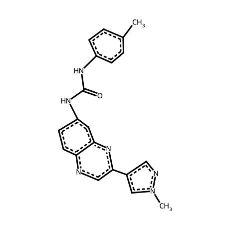 Cc1ccc(NC(=O)Nc2ccc3ncc(-c4cnn(C)c4)nc3c2)cc1